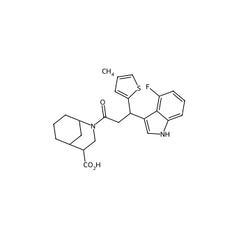 C.O=C(O)C1CN(C(=O)CC(c2cccs2)c2c[nH]c3cccc(F)c23)C2CCCC1C2